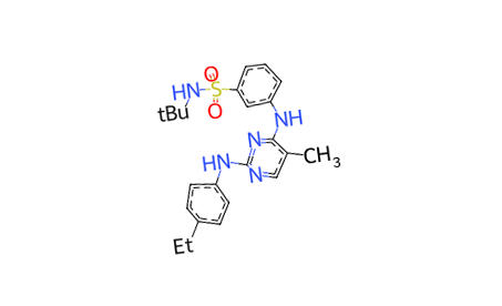 CCc1ccc(Nc2ncc(C)c(Nc3cccc(S(=O)(=O)NC(C)(C)C)c3)n2)cc1